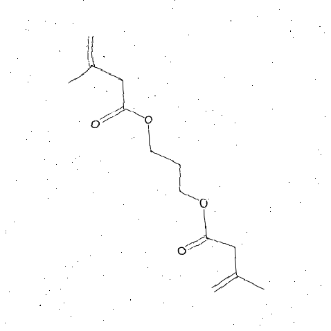 C=C(C)CC(=O)OCCCOC(=O)CC(=C)C